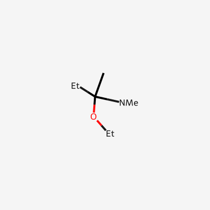 CCOC(C)(CC)NC